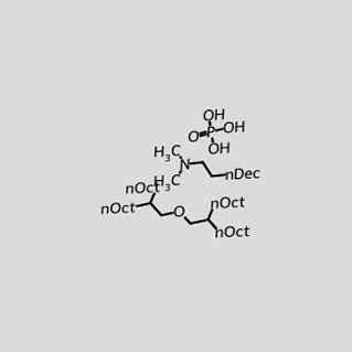 CCCCCCCCC(CCCCCCCC)COCC(CCCCCCCC)CCCCCCCC.CCCCCCCCCCCCN(C)C.O=P(O)(O)O